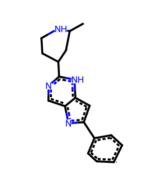 CC1CC(c2ncc3nc(-c4cc[c]cc4)cc-3[nH]2)CCN1